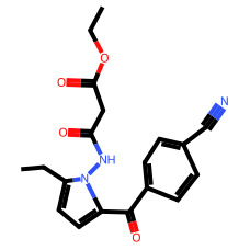 CCOC(=O)CC(=O)Nn1c(CC)ccc1C(=O)c1ccc(C#N)cc1